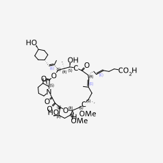 CO[C@H]1C[C@@H](C)C/C(C)=C/[C@@H](C/C=C/CCC(=O)O)C(=O)C[C@H](O)[C@@H](C)[C@@H](/C(C)=C/[C@H]2CC[C@H](O)CC2)OC(=O)[C@@H]2CCCCN2C(=O)C(=O)[C@]2(O)O[C@H]1[C@@H](OC)C[C@H]2C